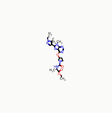 CCOC(=O)[C@H](C)NC(=O)N1CCC(Oc2ncnc3c2nc(-c2cnn(CC)c2C)n3C)C1